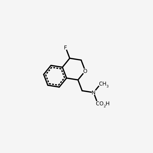 CN(CC1OCC(F)c2ccccc21)C(=O)O